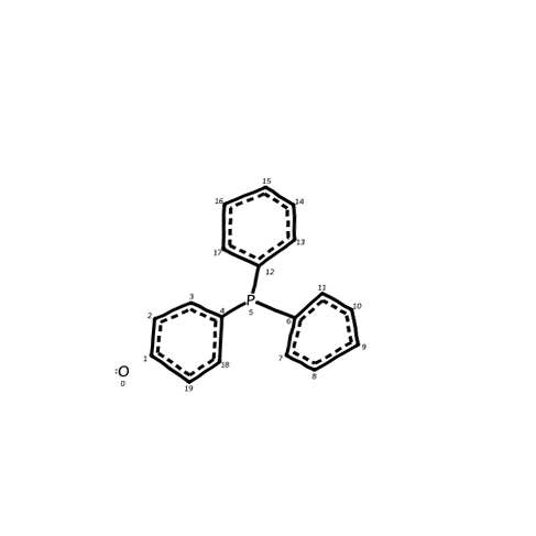 [O].c1ccc(P(c2ccccc2)c2ccccc2)cc1